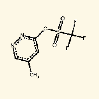 Cc1cnnc(OS(=O)(=O)C(F)(F)F)c1